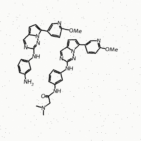 COc1ccc(-c2ccc3cnc(Nc4cccc(N)c4)nn23)cn1.COc1ccc(-c2ccc3cnc(Nc4cccc(NC(=O)CN(C)C)c4)nn23)cn1